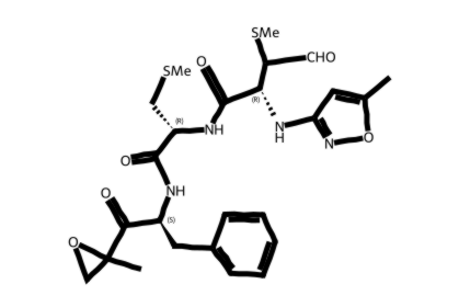 CSC[C@H](NC(=O)[C@@H](Nc1cc(C)on1)C(C=O)SC)C(=O)N[C@@H](Cc1ccccc1)C(=O)C1(C)CO1